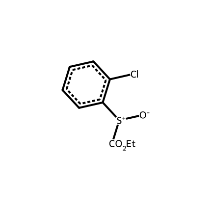 CCOC(=O)[S+]([O-])c1ccccc1Cl